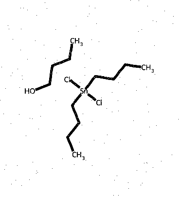 CCCCO.CCC[CH2][Sn]([Cl])([Cl])[CH2]CCC